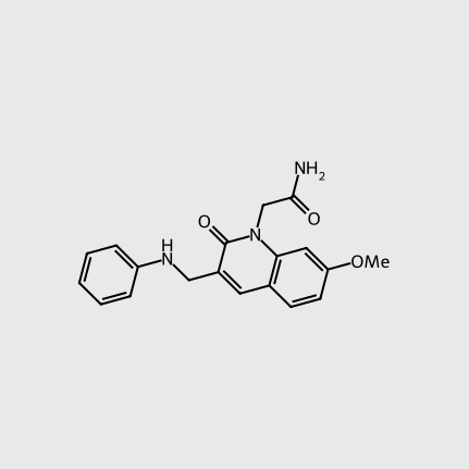 COc1ccc2cc(CNc3ccccc3)c(=O)n(CC(N)=O)c2c1